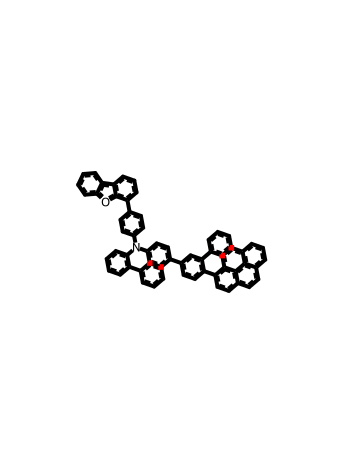 c1ccc(-c2cc(-c3ccc(N(c4ccc(-c5cccc6c5oc5ccccc56)cc4)c4ccccc4-c4ccccc4)cc3)ccc2-c2ccc3ccc4cccc5ccc2c3c45)cc1